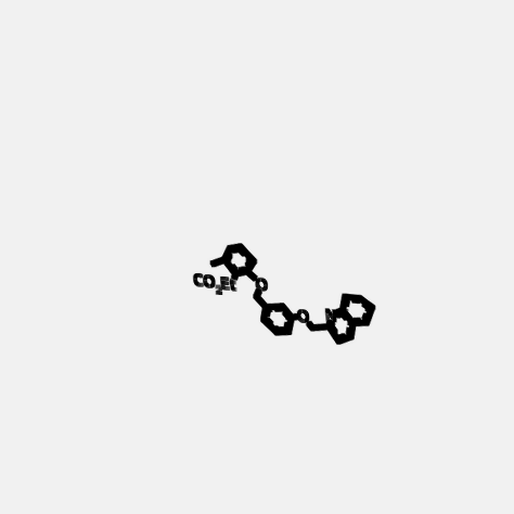 CCOC(=O)c1c(C)cccc1OCc1cccc(OCc2ccc3ccccc3n2)c1